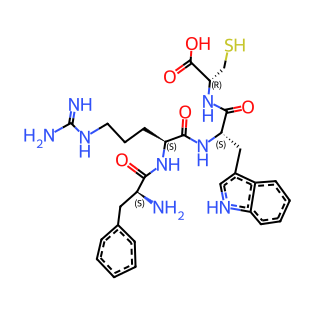 N=C(N)NCCC[C@H](NC(=O)[C@@H](N)Cc1ccccc1)C(=O)N[C@@H](Cc1c[nH]c2ccccc12)C(=O)N[C@@H](CS)C(=O)O